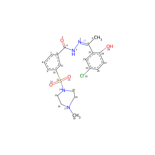 C/C(=N/NC(=O)c1cccc(S(=O)(=O)N2CCN(C)CC2)c1)c1cc(Cl)ccc1O